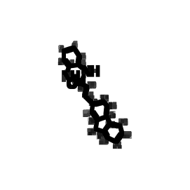 Nc1ccccc1NC(=O)C=Cc1ccc2c(c1)Cc1ccccc1-2